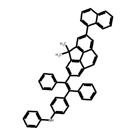 CC1(C)c2cc(/C(=C(\c3ccccc3)c3ccc(Nc4ccccc4)cc3)c3ccccc3)cc3ccc4cc(-c5cccc6ccccc56)cc1c4c23